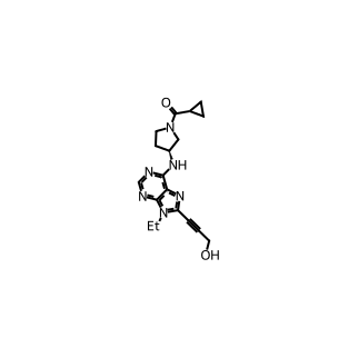 CCn1c(C#CCO)nc2c(N[C@H]3CCN(C(=O)C4CC4)C3)ncnc21